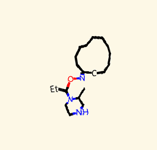 CCC(ON=C1CCCCCCCCCCC1)N1CCNCC1C